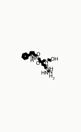 N=C(N)NCCCC(CNCCO)C(=O)CNC(=O)c1ccc(-c2ccccc2)[nH]1